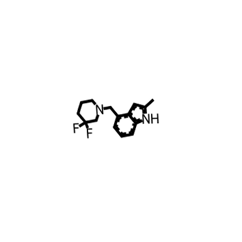 Cc1cc2c(CN3CCCC(F)(F)C3)cccc2[nH]1